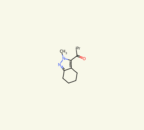 CC(C)C(=O)c1c2c(nn1C)CCCC2